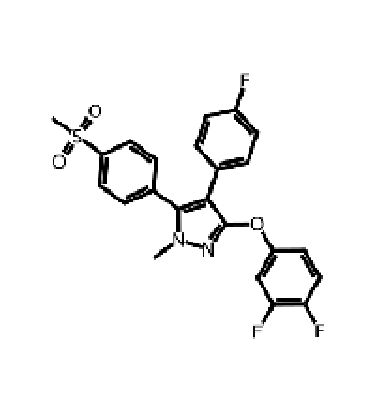 Cn1nc(Oc2ccc(F)c(F)c2)c(-c2ccc(F)cc2)c1-c1ccc(S(C)(=O)=O)cc1